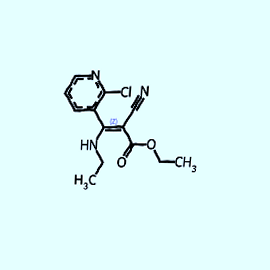 CCN/C(=C(/C#N)C(=O)OCC)c1cccnc1Cl